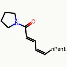 CCCCC/C=C\C=C\C(=O)N1CCCC1